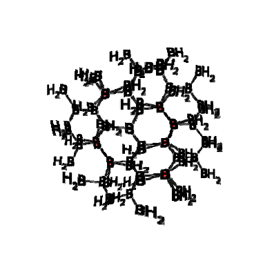 BB(B)B(B)B(B(B(B)B)B(B)B)B(B(B(B)B)B(B)B)B(B(B(B(B)B)B(B)B)B(B(B)B)B(B)B)B(B(B(B(B)B)B(B)B)B(B(B)B)B(B)B)B(B(B(B)B)B(B)B)B(B(B)B)B(B)B